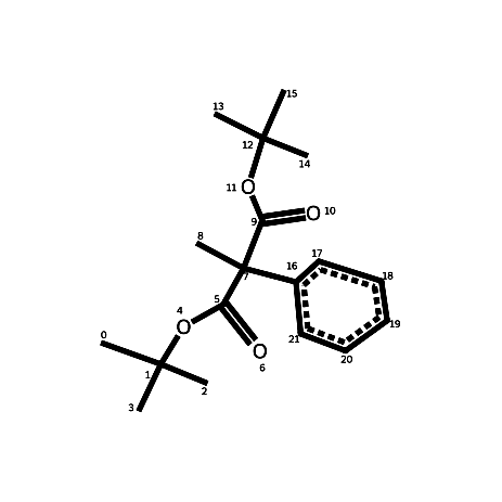 CC(C)(C)OC(=O)C(C)(C(=O)OC(C)(C)C)c1ccccc1